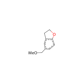 COCc1ccc2c(c1)CCO2